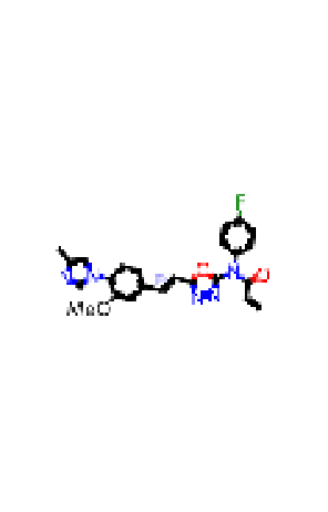 C=CC(=O)N(c1ccc(F)cc1)c1nnc(/C=C/c2ccc(-n3cnc(C)c3)c(OC)c2)o1